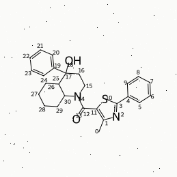 Cc1nc(-c2ccccc2)sc1C(=O)N1CCC(O)(c2ccccc2)C2CCCCC21